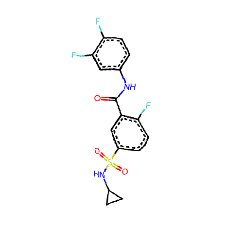 O=C(Nc1ccc(F)c(F)c1)c1cc(S(=O)(=O)NC2CC2)ccc1F